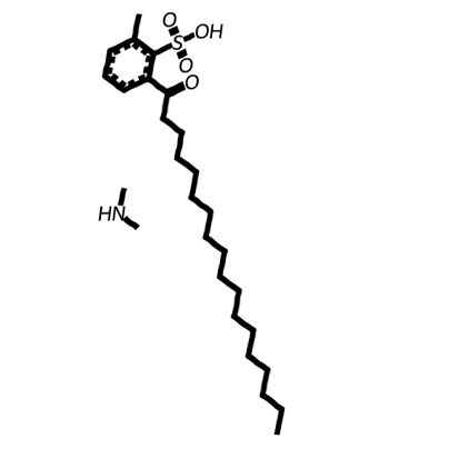 CCCCCCCCCCCCCCCCCC(=O)c1cccc(C)c1S(=O)(=O)O.CNC